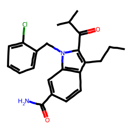 CCCc1c(C(=O)C(C)C)n(Cc2ccccc2Cl)c2cc(C(N)=O)ccc12